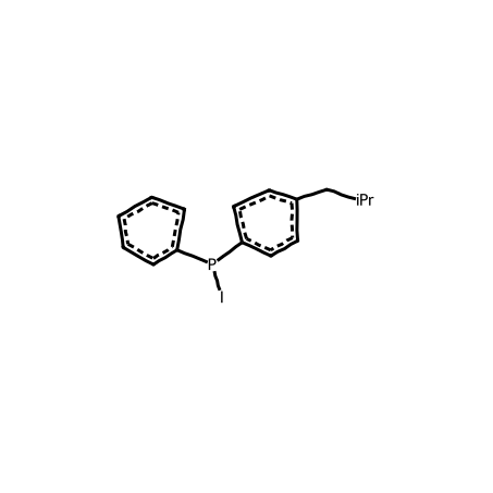 CC(C)Cc1ccc(P(I)c2ccccc2)cc1